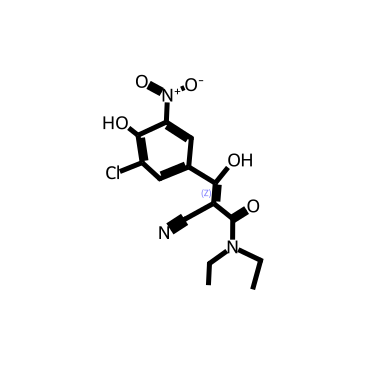 CCN(CC)C(=O)/C(C#N)=C(\O)c1cc(Cl)c(O)c([N+](=O)[O-])c1